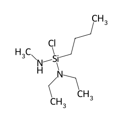 CCCC[Si](Cl)(NC)N(CC)CC